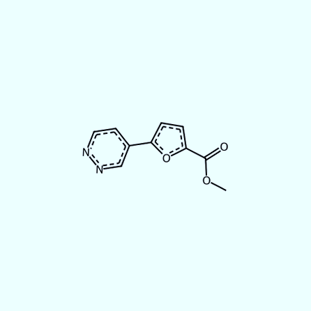 COC(=O)c1ccc(-c2ccnnc2)o1